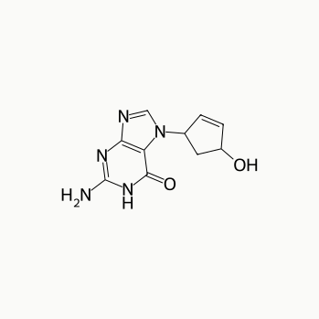 Nc1nc2ncn(C3C=CC(O)C3)c2c(=O)[nH]1